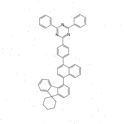 c1ccc(-c2nc(-c3ccccc3)nc(-c3ccc(-c4ccc(-c5cccc6c5-c5ccccc5C65CCCCC5)c5ccccc45)cc3)n2)cc1